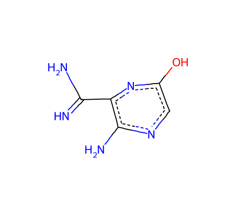 N=C(N)c1nc(O)cnc1N